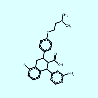 CN(C)CCOc1ccc(C2Cc3c(F)cccc3C(c3ccnc(N)n3)C2C(=O)O)cc1